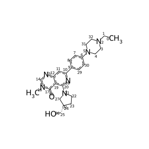 CCN1CCN(c2ccc(-c3cc4ncn(C)c(=O)c4c(N4CC[C@H](CO)C4)n3)cc2)CC1